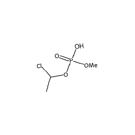 COP(=O)(O)OC(C)Cl